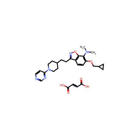 CN(C)c1c(OCC2CC2)ccc2c(CCC3CCN(c4ccncn4)CC3)noc12.O=C(O)/C=C/C(=O)O